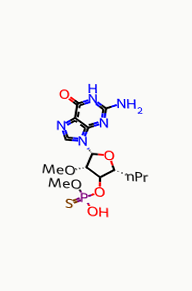 CCC[C@H]1O[C@@H](n2cnc3c(=O)[nH]c(N)nc32)[C@@H](OC)C1OP(O)(=S)OC